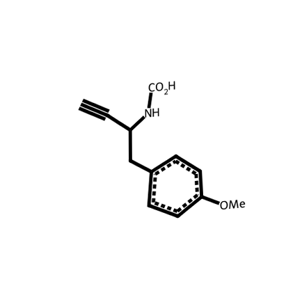 C#CC(Cc1ccc(OC)cc1)NC(=O)O